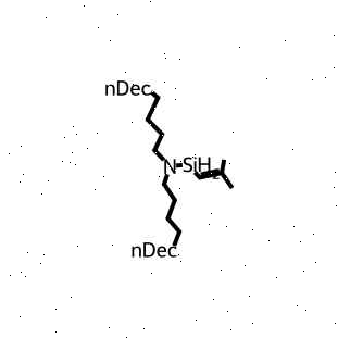 CCCCCCCCCCCCCCN(CCCCCCCCCCCCCC)[SiH2]C=C(C)C